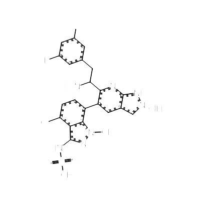 Cl.Cn1nc(NS(C)(=O)=O)c2c(Cl)ccc(-c3cc4cn[nH]c4nc3C(N)Cc3cc(F)cc(F)c3)c21